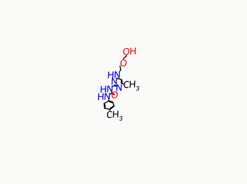 Cc1ccc(NC(=O)Nc2nc(C)cc(NCCOCCO)n2)cc1